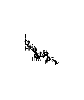 CN(C)CCOc1cc(F)cc(-c2ccnc3[nH]c(-c4n[nH]c5ccc(-c6cncc(NC(=O)CC7CCNCC7)c6)cc45)cc23)c1